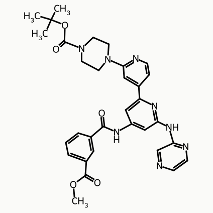 COC(=O)c1cccc(C(=O)Nc2cc(Nc3cnccn3)nc(-c3ccnc(N4CCN(C(=O)OC(C)(C)C)CC4)c3)c2)c1